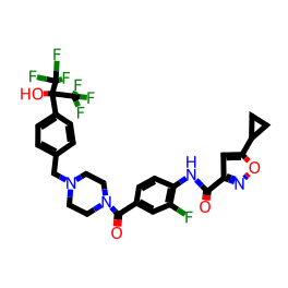 O=C(Nc1ccc(C(=O)N2CCN(Cc3ccc(C(O)(C(F)(F)F)C(F)(F)F)cc3)CC2)cc1F)c1cc(C2CC2)on1